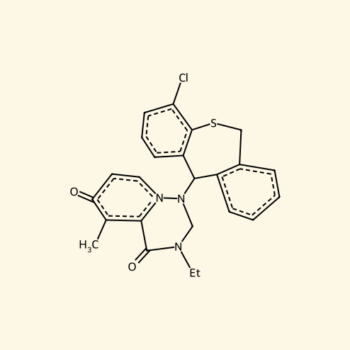 CCN1CN(C2c3ccccc3CSc3c(Cl)cccc32)n2ccc(=O)c(C)c2C1=O